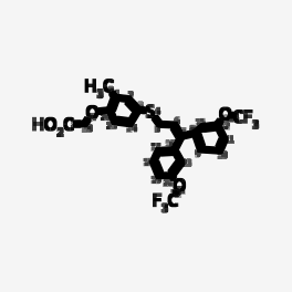 Cc1cc(SCC=C(c2cccc(OC(F)(F)F)c2)c2cccc(OC(F)(F)F)c2)ccc1OCC(=O)O